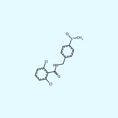 C[S+]([O-])c1ccc(CNC(=O)c2c(Cl)cccc2Cl)cc1